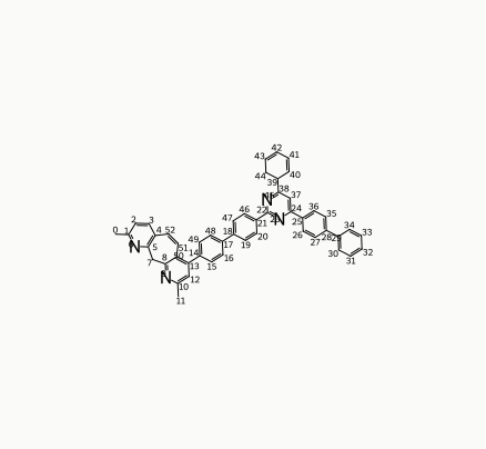 Cc1ccc2c(n1)Cc1nc(C)cc(-c3ccc(-c4ccc(-c5nc(-c6ccc(-c7ccccc7)cc6)cc(C6C=CC=CC6)n5)cc4)cc3)c1C=C2